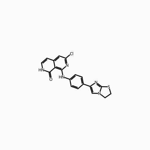 O=c1[nH]ccc2cc(Cl)nc(Nc3ccc(-c4cn5c(n4)SCC5)cc3)c12